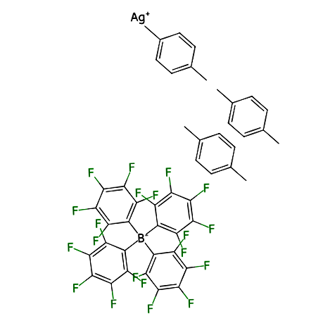 Cc1ccc(C)cc1.Cc1ccc(C)cc1.Cc1ccc(C)cc1.Fc1c(F)c(F)c([B-](c2c(F)c(F)c(F)c(F)c2F)(c2c(F)c(F)c(F)c(F)c2F)c2c(F)c(F)c(F)c(F)c2F)c(F)c1F.[Ag+]